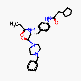 CCC(=O)N[C@H](Cc1ccc(NC(=O)CC2CCCC2)cc1)C(=O)N1CCN(Cc2ccccc2)CC1